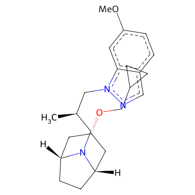 COc1ccc2cnn(C[C@H](C)CN3[C@@H]4CC[C@H]3C[C@@H](OCC3CC3)C4)c2c1